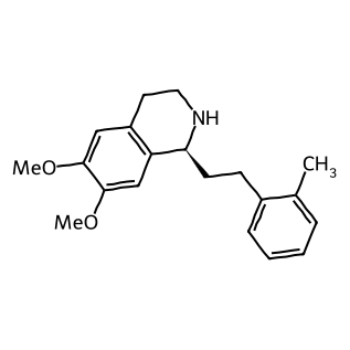 COc1cc2c(cc1OC)[C@H](CCc1ccccc1C)NCC2